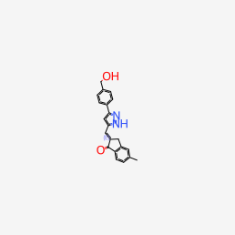 Cc1ccc2c(c1)C/C(=C\c1cc(-c3ccc(CO)cc3)n[nH]1)C2=O